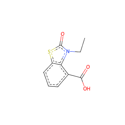 CCn1c(=O)sc2cccc(C(=O)O)c21